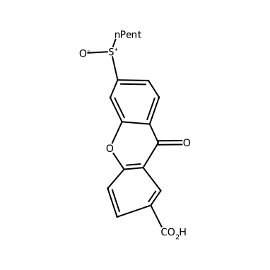 CCCCC[S+]([O-])c1ccc2c(=O)c3cc(C(=O)O)ccc3oc2c1